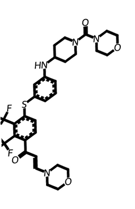 O=C(C=CN1CCOCC1)c1ccc(Sc2cccc(NC3CCN(C(=O)N4CCOCC4)CC3)c2)c(C(F)(F)F)c1C(F)(F)F